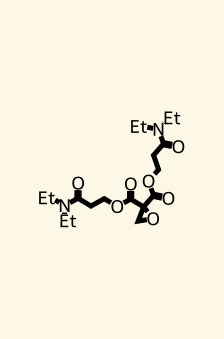 CCN(CC)C(=O)CCOC(=O)C1(C(=O)OCCC(=O)N(CC)CC)CO1